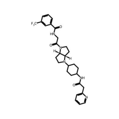 O=C(Cc1ccccn1)NC1CCC(N2CC[C@H]3[C@@H]2CCN3C(=O)CNC(=O)c2cccc(C(F)(F)F)c2)CC1